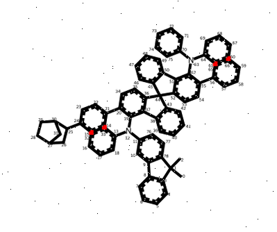 CC1(C)c2ccccc2-c2cc(N(c3ccccc3)c3c(-c4ccc(C5CC6CCC5C6)cc4)ccc4c3-c3ccccc3C43c4ccccc4-c4c3ccc(-c3ccccc3)c4N(c3ccccc3)c3ccccc3)ccc21